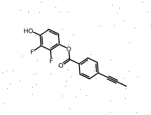 CC#Cc1ccc(C(=O)Oc2ccc(O)c(F)c2F)cc1